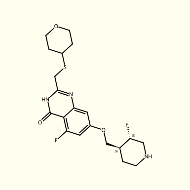 O=c1[nH]c(CSC2CCOCC2)nc2cc(OC[C@@H]3CCNC[C@H]3F)cc(F)c12